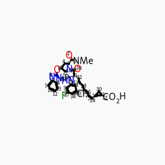 CNC(=O)[C@@H]1C[C@@H](Oc2nc3ccccc3n2C(C)C)CN1C(=O)[C@H](CCCCC/C=C\[C@@H]1C[C@@H]1C(=O)O)Nc1cc(F)cc(C(F)(F)F)c1